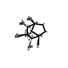 CN1[C@@H]2CC[C@@]1(O)[C@@H](O)[C@H](O)[C@H]2O